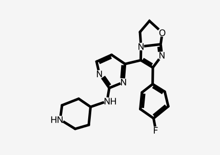 Fc1ccc(-c2nc3n(c2-c2ccnc(NC4CCNCC4)n2)CCO3)cc1